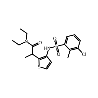 CCN(CC)C(=O)C(C)c1sccc1NS(=O)(=O)c1cccc(Cl)c1C